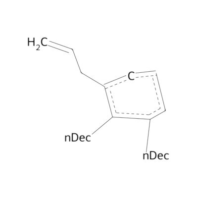 C=CCc1cccc(CCCCCCCCCC)c1CCCCCCCCCC